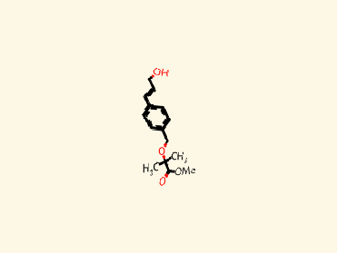 COC(=O)C(C)(C)OCc1ccc(C=CCO)cc1